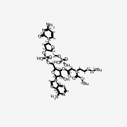 CC(C)(C)OC(=O)N(CCSSC(C)(C)C)CC(=O)OC1C(COP(=O)(O)O[C@H]2C[C@H](n3ccc(N)nc3=O)O[C@@H]2COP(=O)(O)O)OC(n2cnc3c(N)ncnc32)C1O